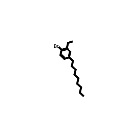 CCCCCCCCCc1ccc(Br)c(CC)c1